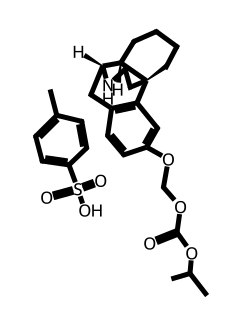 CC(C)OC(=O)OCOc1ccc2c(c1)[C@@]13CCCC[C@H]1[C@@H](C2)NCC3.Cc1ccc(S(=O)(=O)O)cc1